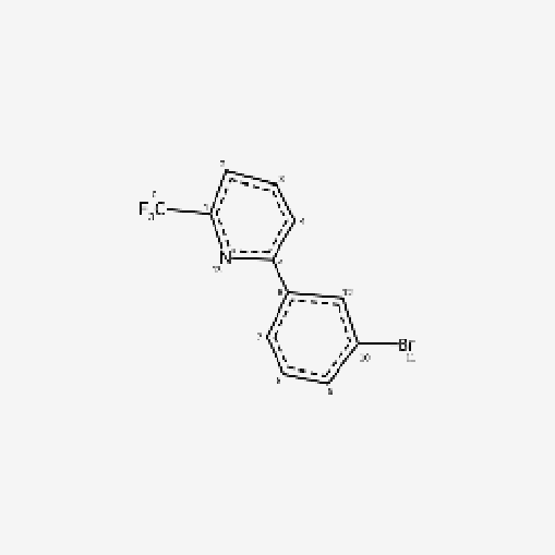 FC(F)(F)c1cccc(-c2cccc(Br)c2)n1